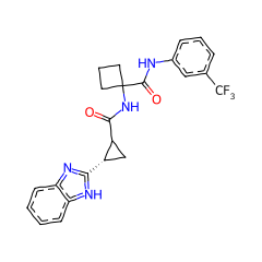 O=C(NC1(C(=O)Nc2cccc(C(F)(F)F)c2)CCC1)C1C[C@@H]1c1nc2ccccc2[nH]1